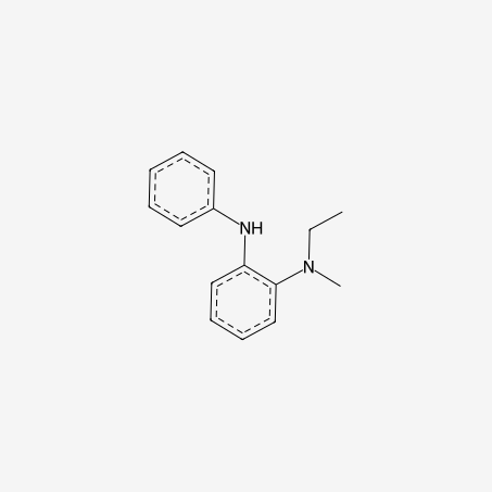 CCN(C)c1ccccc1Nc1ccccc1